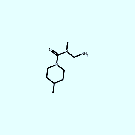 CC1CCN(C(=O)N(C)CN)CC1